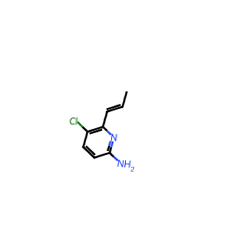 C/C=C/c1nc(N)ccc1Cl